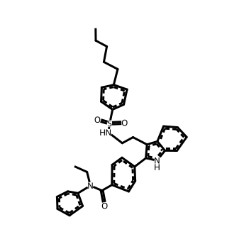 CCCCCc1ccc(S(=O)(=O)NCCc2c(-c3ccc(C(=O)N(CC)c4ccccc4)cc3)[nH]c3ccccc23)cc1